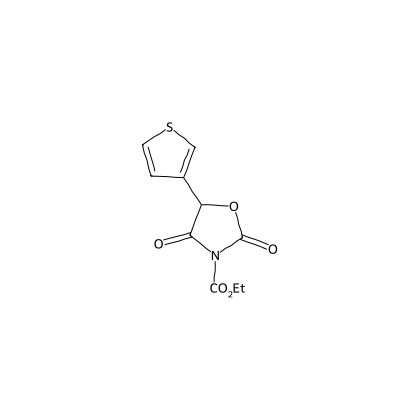 CCOC(=O)N1C(=O)OC(c2ccsc2)C1=O